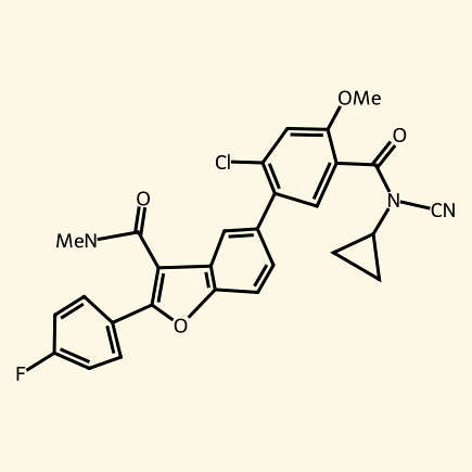 CNC(=O)c1c(-c2ccc(F)cc2)oc2ccc(-c3cc(C(=O)N(C#N)C4CC4)c(OC)cc3Cl)cc12